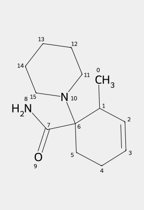 CC1C=CCCC1(C(N)=O)N1CCCCC1